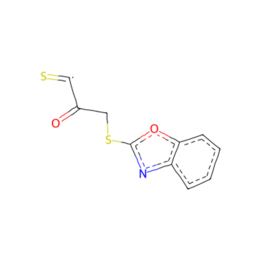 O=C([C]=S)CSc1nc2ccccc2o1